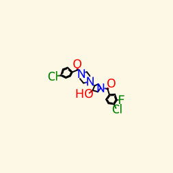 O=C(c1ccc(Cl)cc1)N1CCN(C2CN(C(=O)c3ccc(Cl)c(F)c3)CC2O)CC1